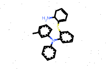 Cc1cccc(N(c2ccccc2)c2ccccc2SC2=CC=CCC2N)c1